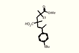 CCC(C)(CC(C)(CC(C)c1ccc(C(C)(C)C)cc1)C(=O)O)C(=O)OC